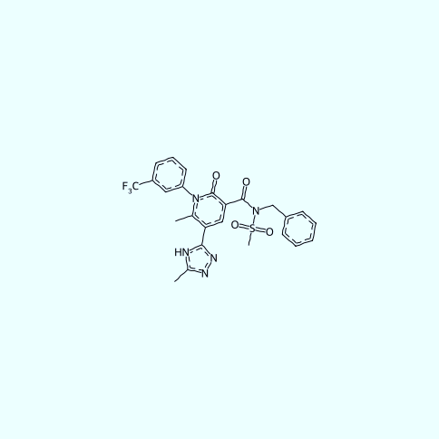 Cc1nnc(-c2cc(C(=O)N(Cc3ccccc3)S(C)(=O)=O)c(=O)n(-c3cccc(C(F)(F)F)c3)c2C)[nH]1